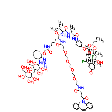 CCCC1O[C@@H]2C[C@H]3[C@@H]4C[C@H](F)C5=CC(=O)C=C[C@]5(C)[C@@]4(F)[C@@H](O)C[C@]3(C)[C@]2(C(=O)COc2ccc(NC(=O)[C@H](C)NC(=O)[C@@H](NC(=O)[C@@H](CCCCNC(=O)COC3CCCCC/C(N[C@H]4O[C@H](CO)[C@](O)(C[C@H]5O[C@H](CO)[C@@H](O)[C@H](O)[C@H]5O)[C@H](O)[C@H]4O)=C\3N=N)NC(=O)CCOCCOCCOCCOCCNC(=O)CCC(=O)N3Cc4ccccc4C#Cc4ccccc43)C(C)C)cc2)O1